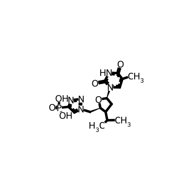 Cc1cn([C@H]2CC(C(C)C)[C@@H](Cn3cc(P(=O)(O)O)nn3)O2)c(=O)[nH]c1=O